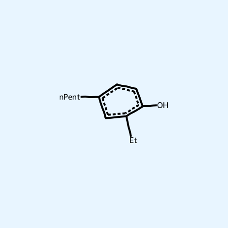 CCCCCc1ccc(O)c(CC)c1